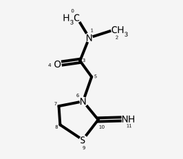 CN(C)C(=O)CN1CCSC1=N